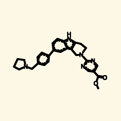 COC(=O)c1cnc(N2CCc3[nH]c4ccc(-c5ccc(CN6CCCC6)cc5)cc4c3C2)nc1